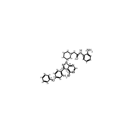 Nc1ccccc1NC(=O)CN1CCC[C@@H](n2nc(-c3ccc(Oc4ccccc4)cc3)c3c(N)ncnc32)C1